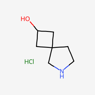 Cl.OC1CC2(CCNC2)C1